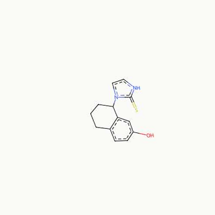 Oc1ccc2c(c1)C(n1cc[nH]c1=S)CCC2